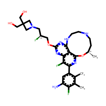 Cc1c(F)c(N)cc(-c2nc3c4c(nc(OC[C@@H](F)CN5CC(CO)(CO)C5)nc4c2F)NCCNCC[C@H](C)O3)c1C(F)(F)F